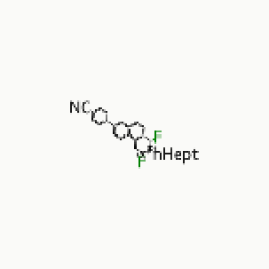 CCCCCCC[C@H]1C(F)c2ccc3cc(-c4ccc(C#N)cc4)ccc3c2C[C@@H]1F